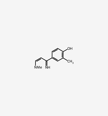 CN/C=C\C(=N)c1ccc(O)c(C)c1